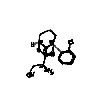 N[C@@H](CO)C1=N[C@]2(c3ccccc3Cl)CCC[C@H](O1)C2=O